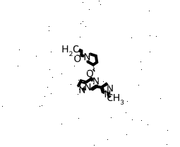 C=CC(=O)N1CCC[C@H](COc2nc(-c3cnn(C)c3)cn3nccc23)C1